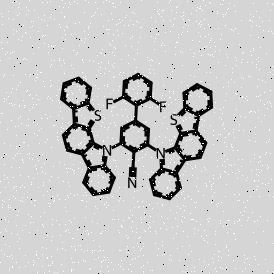 N#Cc1c(-n2c3ccccc3c3ccc4c5ccccc5sc4c32)cc(-c2c(F)cccc2F)cc1-n1c2ccccc2c2ccc3c4ccccc4sc3c21